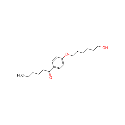 CCCCCC(=O)c1ccc(OCCCCCCO)cc1